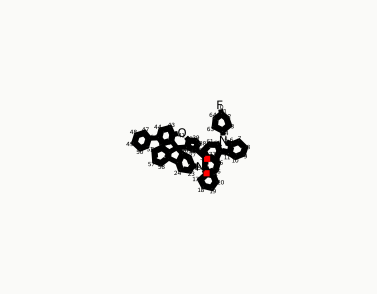 Fc1ccc(-n2c3ccccc3c3cc(N(c4ccccc4)c4ccc5c(c4)C4(c6cc(-c7ccccc7)ccc6Oc6ccc(-c7ccccc7)cc64)c4ccccc4-5)ccc32)cc1